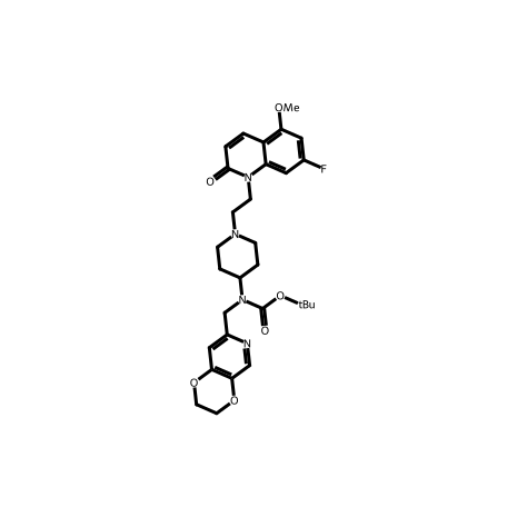 COc1cc(F)cc2c1ccc(=O)n2CCN1CCC(N(Cc2cc3c(cn2)OCCO3)C(=O)OC(C)(C)C)CC1